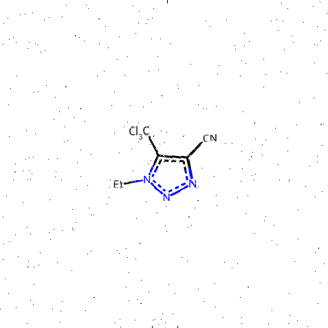 CCn1nnc(C#N)c1C(Cl)(Cl)Cl